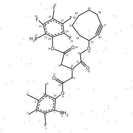 Bc1c(F)c(C)c(C)c(C)c1OC(=O)CN(CC(=O)Oc1c(B)c(F)c(F)c(F)c1F)C(=O)COC1C#CCCCCC1